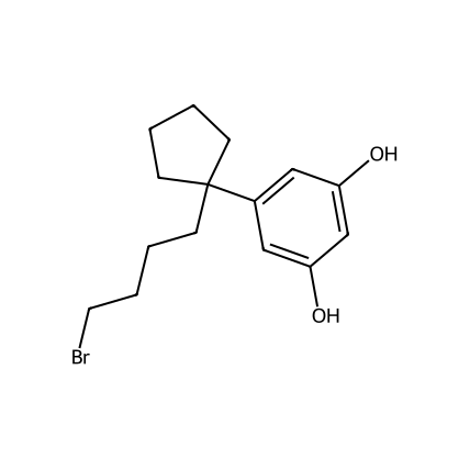 Oc1cc(O)cc(C2(CCCCBr)CCCC2)c1